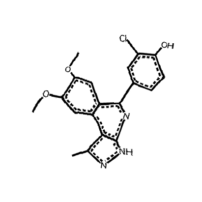 COc1cc2c(-c3ccc(O)c(Cl)c3)nc3[nH]nc(C)c3c2cc1OC